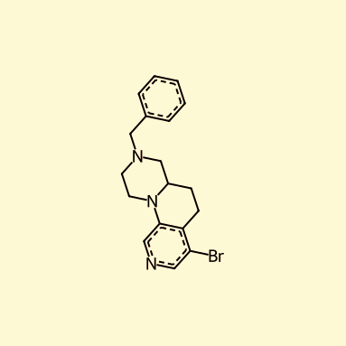 Brc1cncc2c1CCC1CN(Cc3ccccc3)CCN21